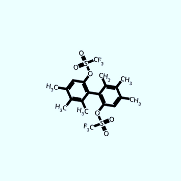 Cc1cc(OS(=O)(=O)C(F)(F)F)c(-c2c(OS(=O)(=O)C(F)(F)F)cc(C)c(C)c2C)c(C)c1C